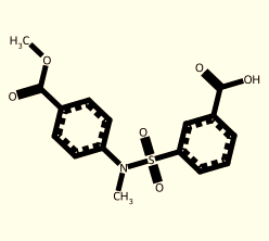 COC(=O)c1ccc(N(C)S(=O)(=O)c2cccc(C(=O)O)c2)cc1